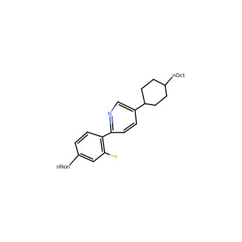 CCCCCCCCCc1ccc(-c2ccc(C3CCC(CCCCCCCC)CC3)cn2)c(F)c1